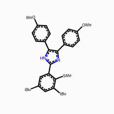 COc1ccc(-c2nc(-c3cc(C(C)(C)C)cc(C(C)(C)C)c3SC)[nH]c2-c2ccc(OC)cc2)cc1